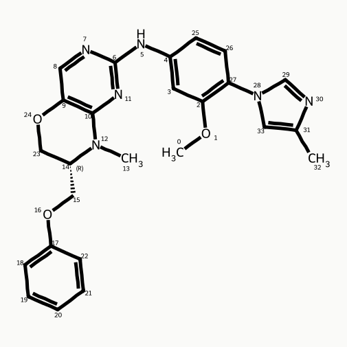 COc1cc(Nc2ncc3c(n2)N(C)[C@H](COc2ccccc2)CO3)ccc1-n1cnc(C)c1